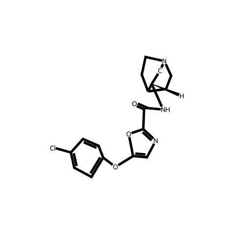 O=C(N[C@H]1CN2CCC1CC2)c1ncc(Oc2ccc(Cl)cc2)o1